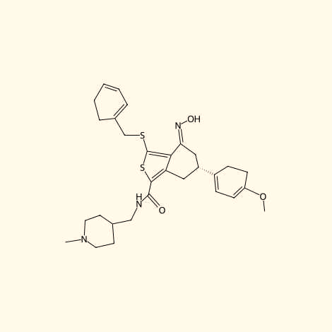 COC1=CC=C([C@H]2C/C(=N\O)c3c(SCC4=CC=CCC4)sc(C(=O)NCC4CCN(C)CC4)c3C2)CC1